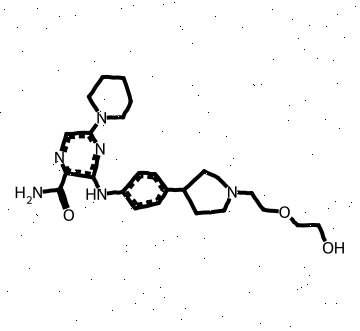 NC(=O)c1ncc(N2CCCCC2)nc1Nc1ccc(C2CCN(CCOCCO)CC2)cc1